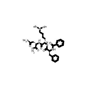 CCCN(CCC)CCCC[C@H](NC(=O)[C@H](Cc1ccccc1)NC(=O)c1ccccc1)C(=O)N[C@@H](CC(N)=O)C(N)=O